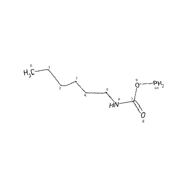 CCCCCCNC(=O)OP